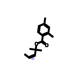 C/C=C\C(C)(C)OC(=O)c1ccc(C)cc1C